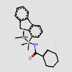 C[SiH](C)[Ti]([CH3])([CH3])([NH]C(=O)C1CCCCC1)[c]1cccc2c1Cc1ccccc1-2